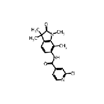 Cc1c(NC(=O)c2ccnc(Cl)c2)ccc2c1N(C)C(=O)C2(C)C